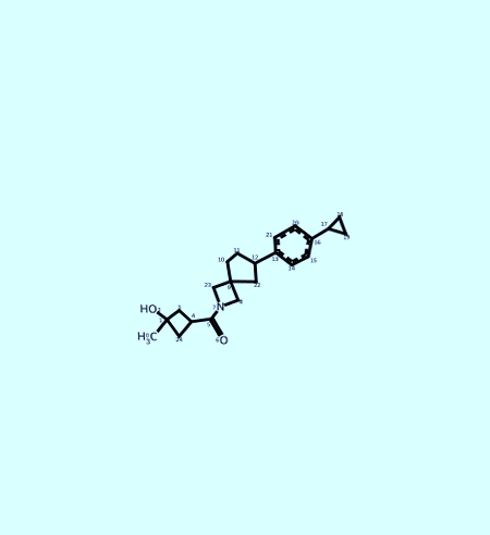 CC1(O)CC(C(=O)N2CC3(CCC(c4ccc(C5CC5)cc4)C3)C2)C1